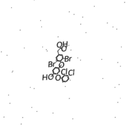 O=C(O)Cc1cc(Br)c(Oc2ccc(O)c(Oc3cccc(Cl)c3Cl)c2)c(Br)c1